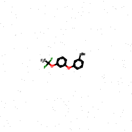 [CH2]CCCc1cccc(Oc2cccc(OC(F)(F)C(F)(F)F)c2)c1